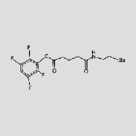 CC(C)(C)CCNC(=O)CCCC(=O)Oc1c(F)c(F)cc(F)c1F